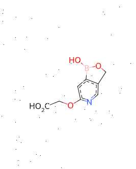 O=C(O)COc1cc2c(cn1)COB2O